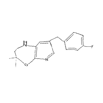 CC1(C)CNc2cc(Cc3ccc(F)cc3)cnc2O1